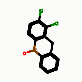 [O-][S+]1c2ccccc2Cc2c1ccc(Cl)c2Cl